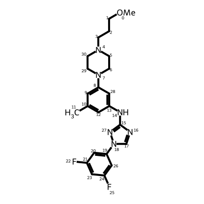 COCCCN1CCN(c2cc(C)cc(Nc3ncn(-c4cc(F)cc(F)c4)n3)c2)CC1